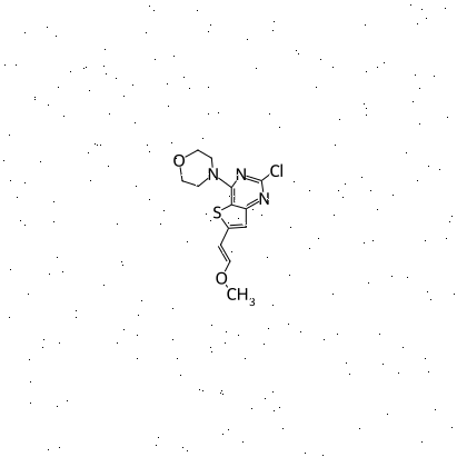 CO/C=C/c1cc2nc(Cl)nc(N3CCOCC3)c2s1